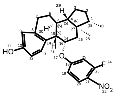 C[C@H]1CC[C@H]2[C@@H]3CCc4cc(O)ccc4[C@H]3[C@@H](Oc3ccc([N+](=O)[O-])c(F)c3)C[C@]12C